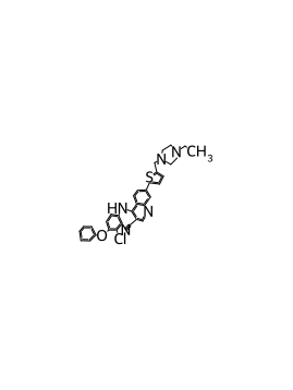 CCN1CCN(Cc2ccc(-c3ccc4c(Nc5ccc(Oc6ccccc6)c(Cl)c5)c(C#N)cnc4c3)s2)CC1